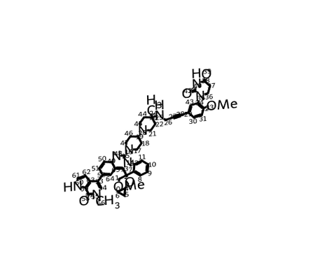 COCC(OC1CC1)(c1ccccc1)c1nc(N2CCC(N3CCC(C)(NCC#Cc4ccc(OC)c(N5CCC(=O)NC5=O)c4)CC3)CC2)nc2ccc(-c3cn(C)c(=O)c4[nH]ccc34)cc12